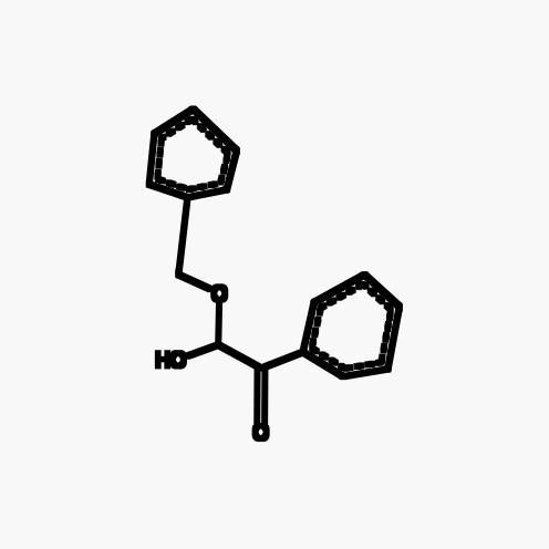 O=C(c1ccccc1)C(O)OCc1ccccc1